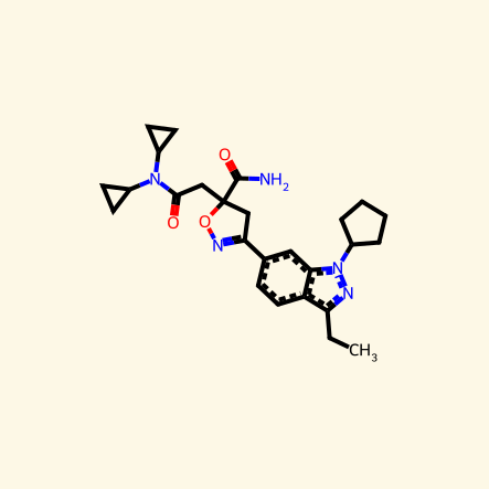 CCc1nn(C2CCCC2)c2cc(C3=NOC(CC(=O)N(C4CC4)C4CC4)(C(N)=O)C3)ccc12